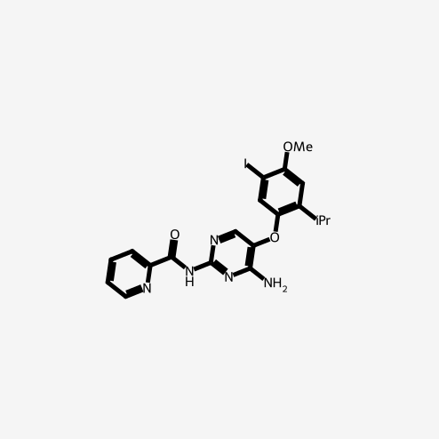 COc1cc(C(C)C)c(Oc2cnc(NC(=O)c3ccccn3)nc2N)cc1I